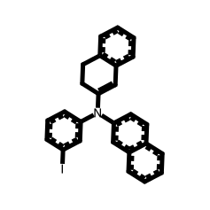 Ic1cccc(N(C2=Cc3ccccc3CC2)c2ccc3ccccc3c2)c1